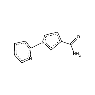 NC(=O)c1ccn(-c2ccccn2)c1